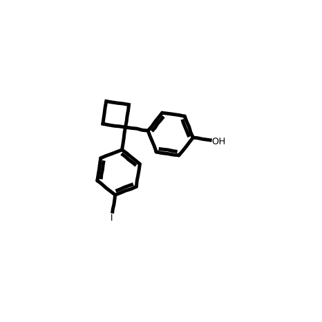 Oc1ccc(C2(c3ccc(I)cc3)CCC2)cc1